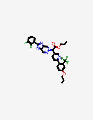 CCCOC(=O)C(c1ccc(-c2ccc(OCCC)cc2C(F)(F)F)nc1)n1cc2nc(-c3cccc(F)c3F)nc-2cn1